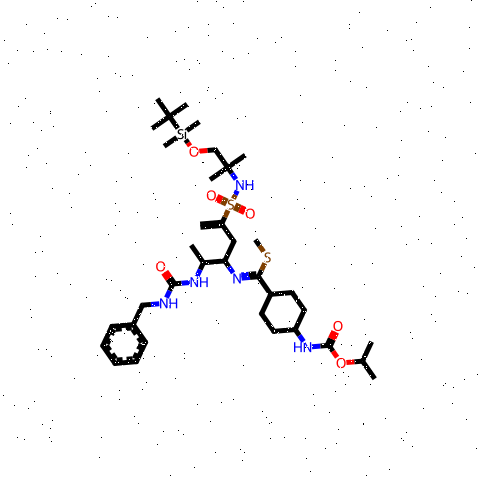 C=C(CC(/N=C(\SC)C1CCC(NC(=O)OC(C)C)CC1)C(C)NC(=O)NCc1ccccc1)S(=O)(=O)NC(C)(C)CO[Si](C)(C)C(C)(C)C